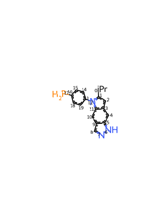 CC(C)c1cc2cc3[nH]ncc3cc2n1-c1ccc(P)cc1